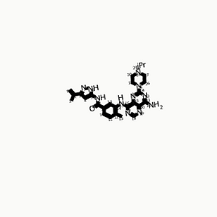 C=C(C)c1cc(NC(=O)c2ccc(C)c(Nc3ncnc4c(N)nc(N5CCN(C(C)C)CC5)nc34)c2)[nH]n1